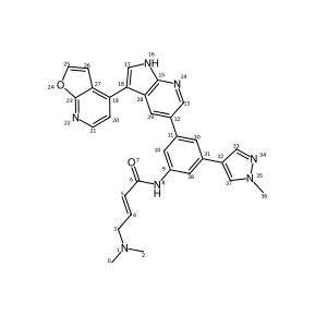 CN(C)C/C=C/C(=O)Nc1cc(-c2cnc3[nH]cc(-c4ccnc5occc45)c3c2)cc(-c2cnn(C)c2)c1